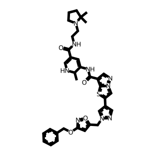 CC1NC=C(C(=O)NCCN2CCCC2(C)C)C=C1NC(=O)c1cnn2cc(-c3cnn(Cc4cc(OCc5ccccc5)no4)c3)sc12